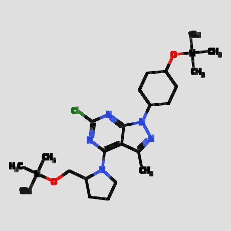 Cc1nn(C2CCC(O[Si](C)(C)C(C)(C)C)CC2)c2nc(Cl)nc(N3CCCC3CO[Si](C)(C)C(C)(C)C)c12